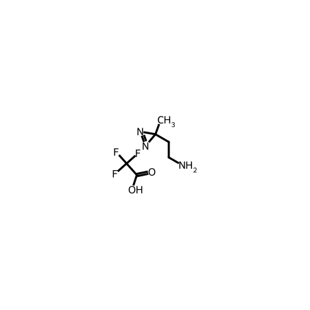 CC1(CCN)N=N1.O=C(O)C(F)(F)F